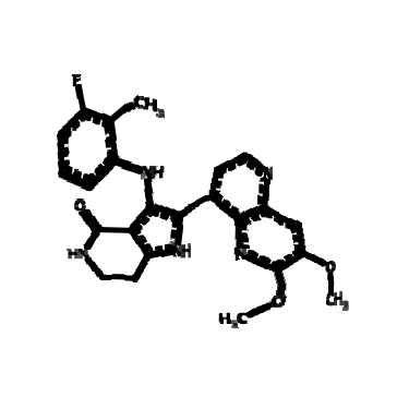 COc1cc2nccc(-c3[nH]c4c(c3Nc3cccc(F)c3C)C(=O)NCC4)c2nc1OC